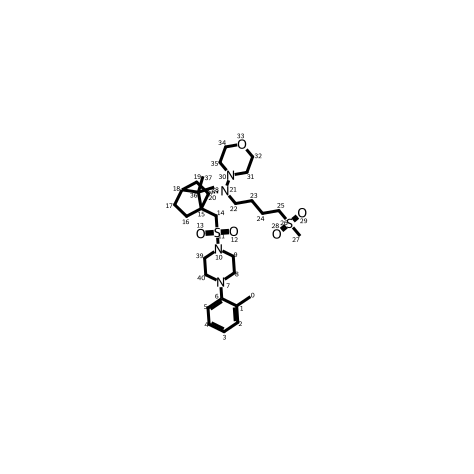 Cc1ccccc1N1CCN(S(=O)(=O)CC23CCC(C[C@@H]2N(CCCCS(C)(=O)=O)N2CCOCC2)C3(C)C)CC1